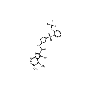 Cc1nnc2sc(C(=O)NC3CCN(S(=O)(=O)c4ccccc4OC(F)(F)F)C3)c(N)c2c1C